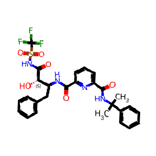 CC(C)(NC(=O)c1cccc(C(=O)NC(Cc2ccccc2)[C@H](O)C(=O)NS(=O)(=O)C(F)(F)F)n1)c1ccccc1